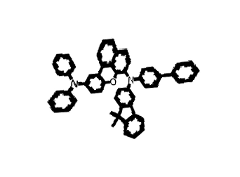 CC1(C)c2ccccc2-c2cc(N(c3ccc(-c4ccccc4)cc3)c3ccc4cccc5c4c3Oc3ccc(N(c4ccccc4)c4ccccc4)cc3-5)ccc21